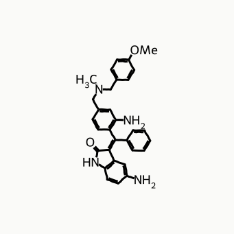 COc1ccc(CN(C)Cc2ccc(/C(=C3\C(=O)Nc4ccc(N)cc43)c3ccccc3)c(N)c2)cc1